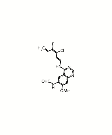 C=C/C(F)=C(Cl)\C=C\Nc1ncnc2cc(OC)c(NC=O)cc12